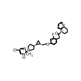 CC1(N2CCC([C@H]3C[C@H]3CCOc3ccc(CC(=O)N4CCCc5ncccc54)c(F)c3)CC2)N=CC(Cl)=CN1